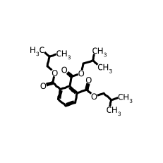 CC(C)COC(=O)c1cccc(C(=O)OCC(C)C)c1C(=O)OCC(C)C